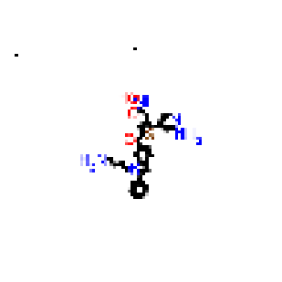 NCCCCn1c(-c2ccccc2)cc2ccc(C(=O)c3cc(CC(=O)NO)c(-c4ccnc(N)c4)s3)cc21